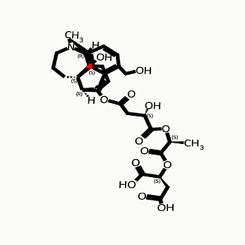 C[C@H](OC(=O)[C@@H](O)CC(=O)OC1=CC[C@@]2(O)[C@H]3Cc4ccc(CO)c5c4[C@@]2(CCCN3C)[C@H]1O5)C(=O)O[C@@H](CC(=O)O)C(=O)O